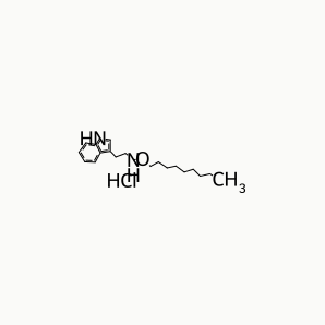 CCCCCCCCCONCCc1c[nH]c2ccccc12.Cl